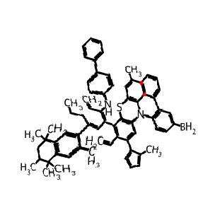 Bc1ccc(N2C3=C(C=C(C)CC3)Sc3c2cc(C2=C=CC=C2C)c(C=C)c3C(/C=C(\CCC)c2cc3c(cc2C)C(C)(C)C(C)CC3(C)C)=C(/C=C)Nc2ccc(-c3ccccc3)cc2)c(-c2ccccc2)c1